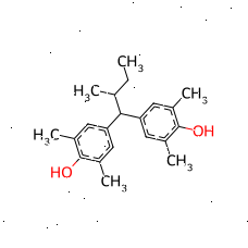 CCC(C)C(c1cc(C)c(O)c(C)c1)c1cc(C)c(O)c(C)c1